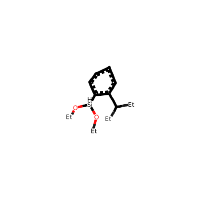 CCO[SiH](OCC)c1ccccc1C(CC)CC